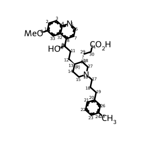 COc1ccc2nccc([C@H](O)CC[C@@H]3CCN(CCCc4cccc(C)c4)C[C@H]3CCC(=O)O)c2c1